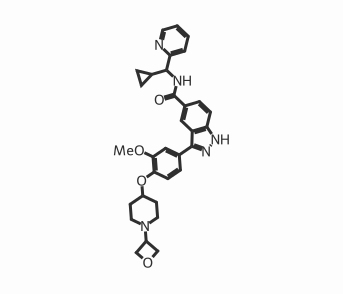 COc1cc(-c2n[nH]c3ccc(C(=O)NC(c4ccccn4)C4CC4)cc23)ccc1OC1CCN(C2COC2)CC1